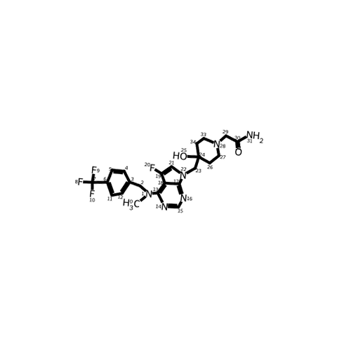 CN(Cc1ccc(C(F)(F)F)cc1)c1ncnc2c1c(F)cn2CC1(O)CCN(CC(N)=O)CC1